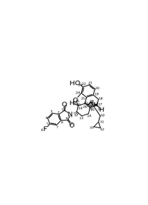 O=C1c2ccc(F)cc2C(=O)N1[C@H]1CC[C@@]2(O)[C@H]3Cc4ccc(O)c5c4[C@@]2(CCN3CC2CC2)[C@H]1O5